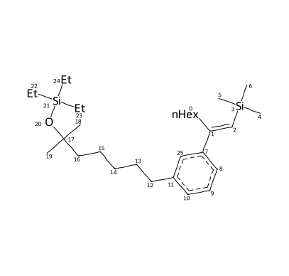 CCCCCC/C(=C\[Si](C)(C)C)c1cccc(CCCCCC(C)(C)O[Si](CC)(CC)CC)c1